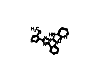 COc1cscc1-c1nc2c3ccccc3nc(Nc3ccccnc3=O)n2n1